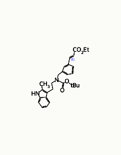 CCOC(=O)/C=C/c1cccc(CN(CCc2c(C)[nH]c3ccccc23)C(=O)OC(C)(C)C)c1